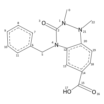 CN1C(=O)N(Cc2ccccc2)c2cc(C(=O)O)ccc2N1C